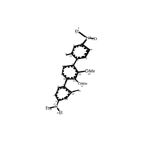 CCN(CC)c1ccc(-c2[c]cc(-c3ccc(N(CC)CC)cc3C)c(OC)c2OC)c(C)c1